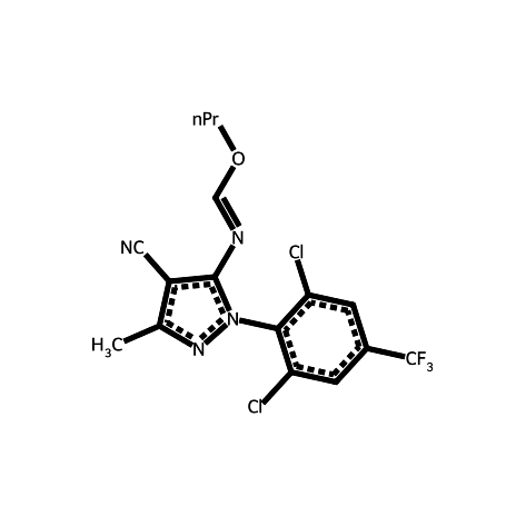 CCCOC=Nc1c(C#N)c(C)nn1-c1c(Cl)cc(C(F)(F)F)cc1Cl